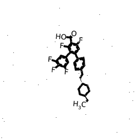 CC[C@H]1CC[C@H](CCc2ccc(-c3cc(F)c(C(=O)O)c(F)c3-c3cc(F)c(F)c(F)c3)cc2)CC1